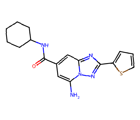 Nc1cc(C(=O)NC2CCCCC2)cc2nc(-c3cccs3)nn12